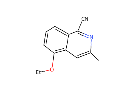 CCOc1cccc2c(C#N)nc(C)cc12